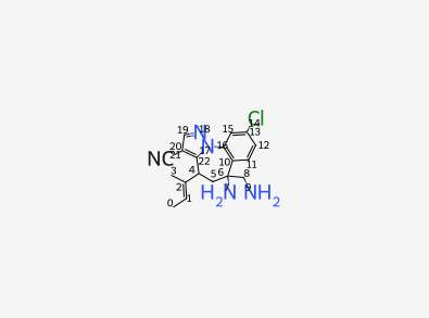 C/C=C(\C)C1CC(N)(CN)c2ccc(Cl)cc2-n2ncc(C#N)c21